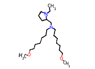 CCN1CCCC1CN(CCCCCCCOC)CCCCCCCOC